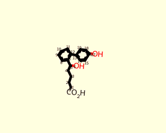 O=C(O)CCCCC(O)c1ccccc1-c1ccc(O)cc1